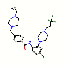 CCN1CCN(Cc2ccc(C(=O)Nc3ccc(Cl)cc3N3CCN(CCC(F)(F)F)CC3)cc2)CC1